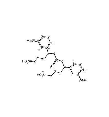 CSc1cc(C(CC(=O)CC(SCCS(=O)(=O)O)c2nccc(SC)n2)SCCS(=O)(=O)O)ncn1